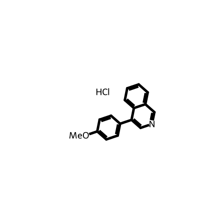 COc1ccc(-c2cncc3ccccc23)cc1.Cl